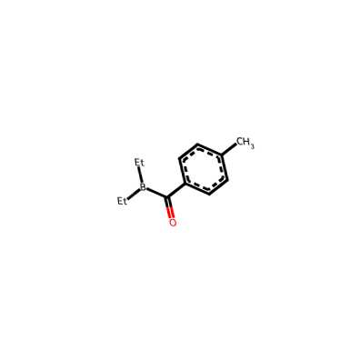 CCB(CC)C(=O)c1ccc(C)cc1